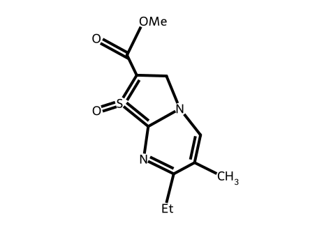 CCC1=NC2=S(=O)=C(C(=O)OC)CN2C=C1C